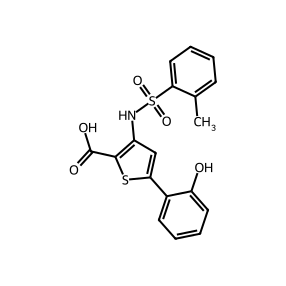 Cc1ccccc1S(=O)(=O)Nc1cc(-c2ccccc2O)sc1C(=O)O